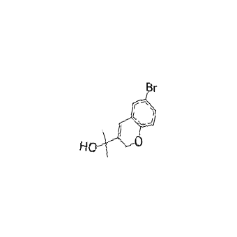 CC(C)(O)C1=Cc2cc(Br)ccc2OC1